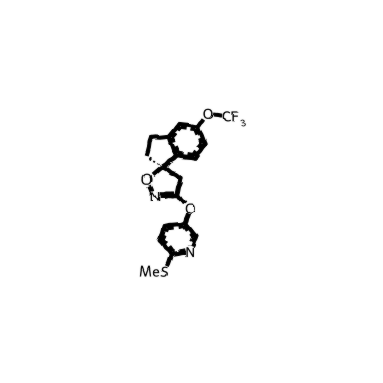 CSc1ccc(OC2=NO[C@]3(CCc4cc(OC(F)(F)F)ccc43)C2)cn1